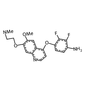 CNCCOc1cc2nccc(Oc3ccc(N)c(F)c3F)c2cc1OC